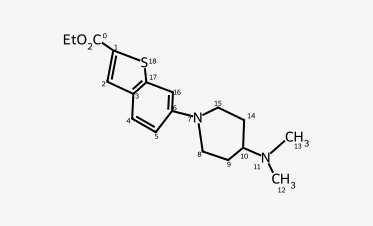 CCOC(=O)c1cc2ccc(N3CCC(N(C)C)CC3)cc2s1